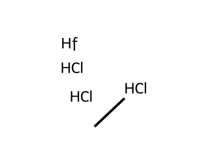 CC.Cl.Cl.Cl.[Hf]